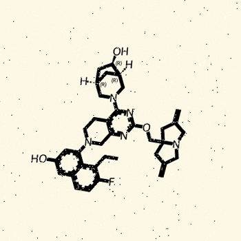 C=C1CN2CC(=C)CC2(COc2nc3c(c(N4C[C@@H]5C[C@H](C4)[C@H](O)C5)n2)CCN(c2cc(O)cc4ccc(F)c(CC)c24)C3)C1